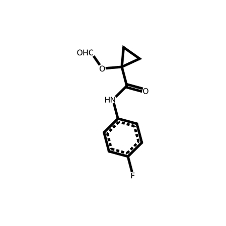 O=COC1(C(=O)Nc2ccc(F)cc2)CC1